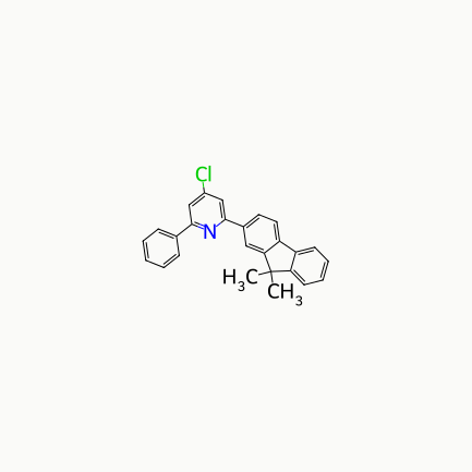 CC1(C)c2ccccc2-c2ccc(-c3cc(Cl)cc(-c4ccccc4)n3)cc21